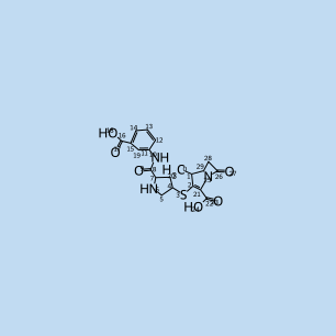 CC1C(SC2CNC(C(=O)Nc3cccc(C(=O)O)c3)C2)=C(C(=O)O)N2C(=O)CC12